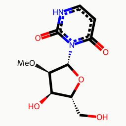 CO[C@@H]1[C@H](O)[C@@H](CO)O[C@H]1n1c(=O)cc[nH]c1=O